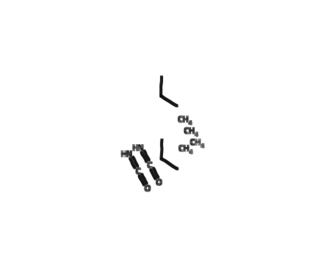 C.C.C.C.CCC.CCC.N=C=O.N=C=O